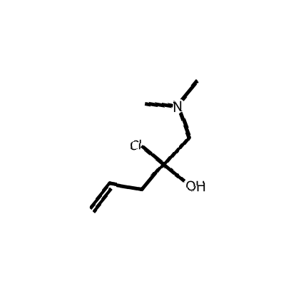 C=CCC(O)(Cl)CN(C)C